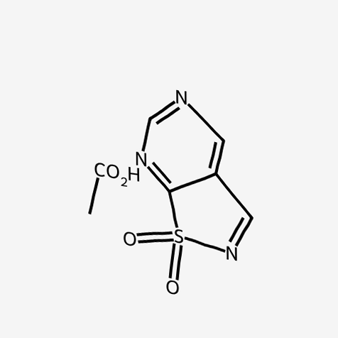 CC(=O)O.O=S1(=O)N=Cc2cncnc21